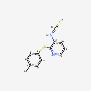 Cc1ccc(Sc2ncccc2N=C=S)cc1